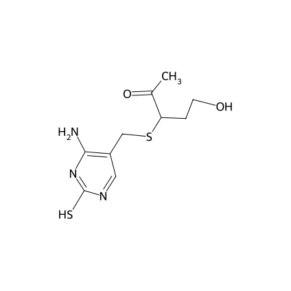 CC(=O)C(CCO)SCc1cnc(S)nc1N